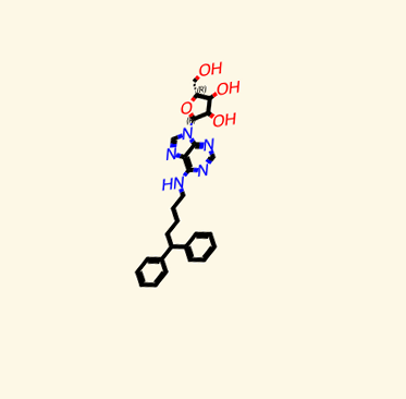 OC[C@H]1O[C@@H](n2cnc3c(NCCCCC(c4ccccc4)c4ccccc4)ncnc32)C(O)C1O